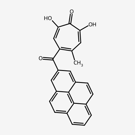 Cc1cc(O)c(=O)c(O)cc1C(=O)c1cc2ccc3cccc4ccc(c1)c2c34